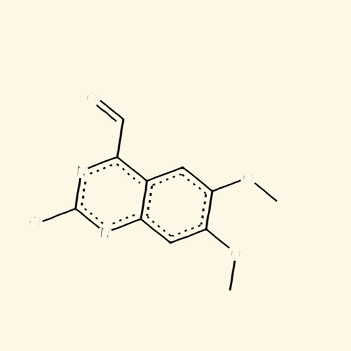 COc1cc2nc(Cl)nc(C=O)c2cc1OC